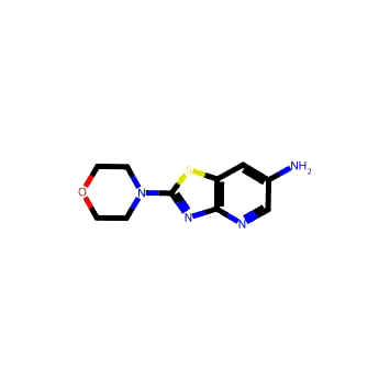 Nc1cnc2nc(N3CCOCC3)sc2c1